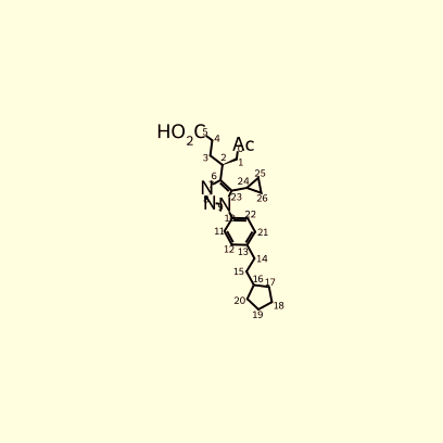 CC(=O)C[C@H](CCC(=O)O)c1nnn(-c2ccc(CCC3CCCC3)cc2)c1C1CC1